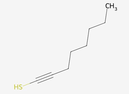 CCCCCCC#CS